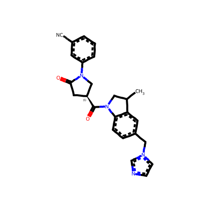 CC1CN(C(=O)[C@H]2CC(=O)N(c3cccc(C#N)c3)C2)c2ccc(Cn3ccnc3)cc21